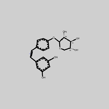 Oc1cc(O)cc(/C=C\c2ccc(OC3OC[C@@H](O)[C@H](O)[C@H]3O)cc2)c1